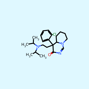 CC(C)N(CCC1(c2ccccc2Cl)C(=O)N=CN2CCCCC21)C(C)C